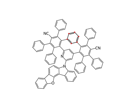 N#Cc1c(-c2ccccc2)c(-c2ccccc2)c(-c2cc(-c3c(-c4ccccc4)c(-c4ccccc4)c(C#N)c(-c4ccccc4)c3-c3ccccc3)nc(-n3c4ccccc4c4c5oc6ccccc6c5ccc43)c2)c(-c2ccccc2)c1-c1ccccc1